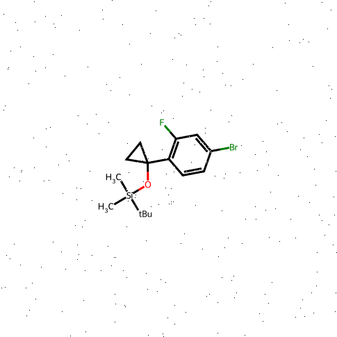 CC(C)(C)[Si](C)(C)OC1(c2ccc(Br)cc2F)CC1